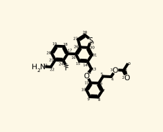 CC(=O)OCCc1ccccc1OCc1cc(-c2cccc(CN)c2F)c2ccsc2c1